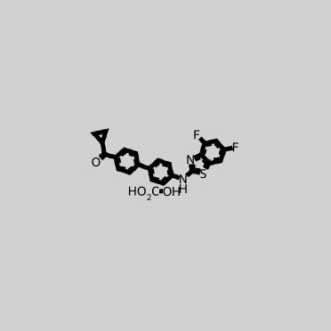 O=C(O)O.O=C(c1ccc(-c2ccc(Nc3nc4c(F)cc(F)cc4s3)cc2)cc1)C1CC1